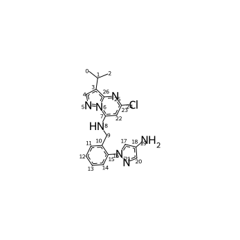 CC(C)c1cnn2c(NCc3ccccc3-n3cc(N)cn3)cc(Cl)nc12